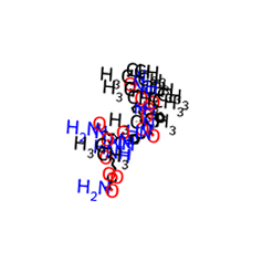 CC[C@H](C)[C@@H]([C@@H](CC(=O)N1CCC[C@H]1[C@H](OC)[C@@H](C)C(=O)N[C@@H](Cc1ccccc1)C(=O)NCc1ccc(NC(=O)[C@H](CCCNC(N)=O)NC(=O)[C@@H](NC(=O)CCCC2OCC(C(N)=O)CO2)C(C)C)cc1)OC)N(C)C(=O)[C@@H](NC(=O)[C@H](C(C)C)N(C)C)C(C)C